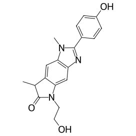 CC1C(=O)N(CCO)c2cc3nc(-c4ccc(O)cc4)n(C)c3cc21